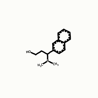 CN(C)C(CCO)c1ccc2ccccc2c1